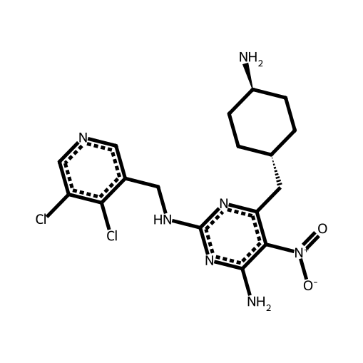 Nc1nc(NCc2cncc(Cl)c2Cl)nc(C[C@H]2CC[C@H](N)CC2)c1[N+](=O)[O-]